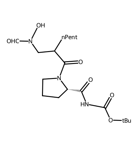 CCCCCC(CN(O)C=O)C(=O)N1CCC[C@H]1C(=O)NC(=O)OC(C)(C)C